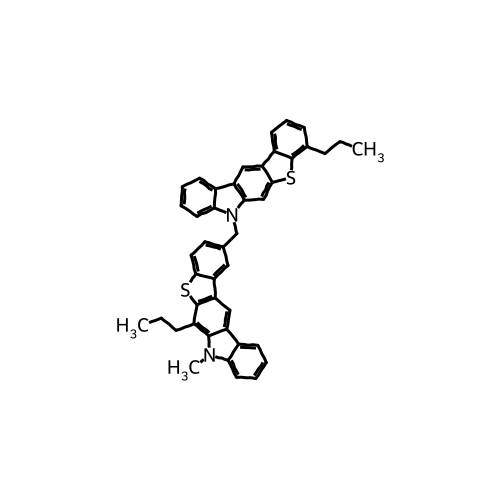 CCCc1cccc2c1sc1cc3c(cc12)c1ccccc1n3Cc1ccc2sc3c(CCC)c4c(cc3c2c1)c1ccccc1n4C